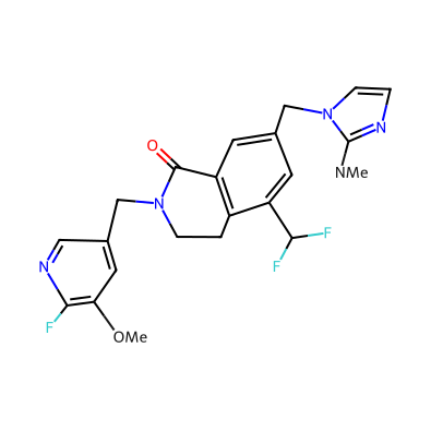 CNc1nccn1Cc1cc2c(c(C(F)F)c1)CCN(Cc1cnc(F)c(OC)c1)C2=O